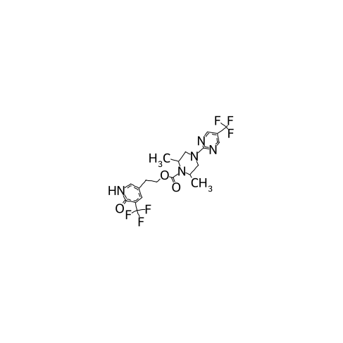 CC1CN(c2ncc(C(F)(F)F)cn2)CC(C)N1C(=O)OCCc1c[nH]c(=O)c(C(F)(F)F)c1